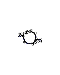 C/C=C/C(O)C(C)(C)C1C/C=C\C2OC2C=CC(OC)Cc2nc(co2)C(=O)OC(C(C)(C)C(O)/C=C/C)C/C=C\C2OC2/C=C\C=C/c2nc(co2)C(=O)O1